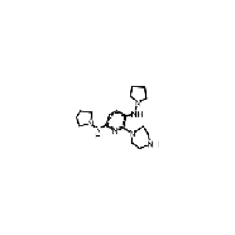 c1cc(NN2CCCC2)c(N2CCNCC2)nc1NN1CCCC1